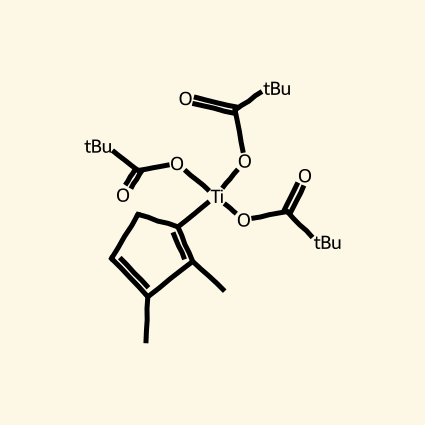 CC1=CC[C]([Ti]([O]C(=O)C(C)(C)C)([O]C(=O)C(C)(C)C)[O]C(=O)C(C)(C)C)=C1C